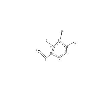 Cc1ccc(C=O)c(C)c1I